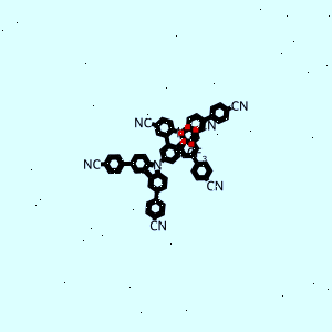 N#Cc1ccc(-c2ccc3c(c2)c2cc(-c4ccc(C#N)cc4)ccc2n3-c2ccc(-c3ccc(C#N)cc3C(F)(F)F)c(-c3cc(C#N)ccc3-n3c4ccc(-c5ccc(C#N)cc5)cc4c4cc(-c5ccc(C#N)cc5)ccc43)c2)cc1